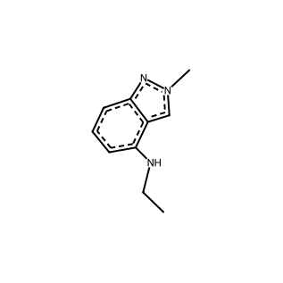 CCNc1cccc2nn(C)cc12